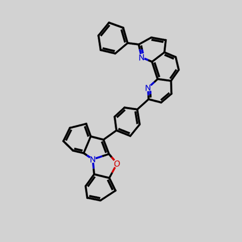 c1ccc(-c2ccc3ccc4ccc(-c5ccc(-c6c7ccccc7n7c6oc6ccccc67)cc5)nc4c3n2)cc1